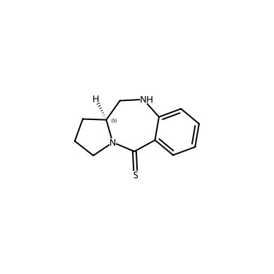 S=C1c2ccccc2NC[C@@H]2CCCN12